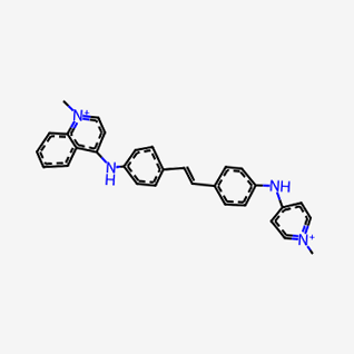 C[n+]1ccc(Nc2ccc(/C=C/c3ccc(Nc4cc[n+](C)c5ccccc45)cc3)cc2)cc1